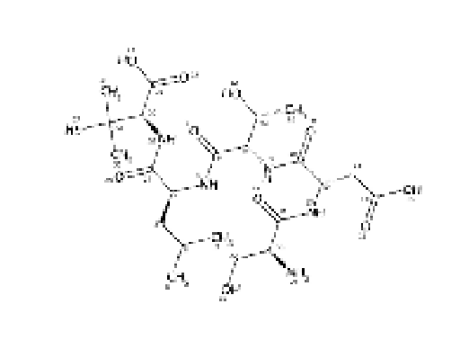 CC(C)C[C@H](NC(=O)[C@@H](NC(=O)[C@H](CC(=O)O)NC(=O)[C@@H](N)CO)[C@@H](C)O)C(=O)N[C@H](C(=O)O)C(C)(C)S